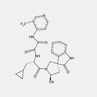 N#C[C@@H]1C[C@@]2(CN1C(=O)[C@H](CC1CC1)NC(=O)C(=O)Nc1ccncc1C(F)(F)F)C(=O)Nc1ccccc12